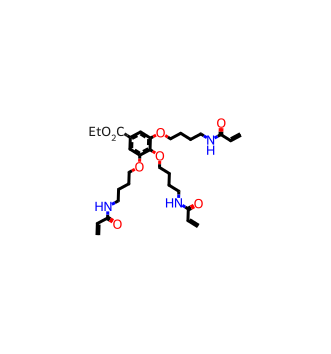 C=CC(=O)NCCCCOc1cc(C(=O)OCC)cc(OCCCCNC(=O)C=C)c1OCCCCNC(=O)C=C